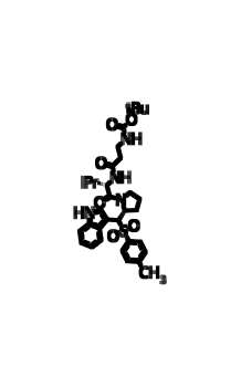 Cc1ccc(S(=O)(=O)C(c2c[nH]c3ccccc23)[C@@H]2CCCN2C(=O)[C@@H](NC(=O)CCNC(=O)OC(C)(C)C)C(C)C)cc1